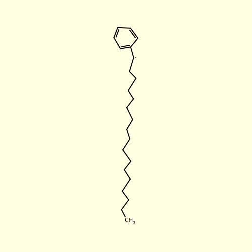 CCCCCCCCCCCCCCCC[CH]c1ccccc1